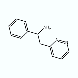 NC(Cc1cccnn1)c1ccccc1